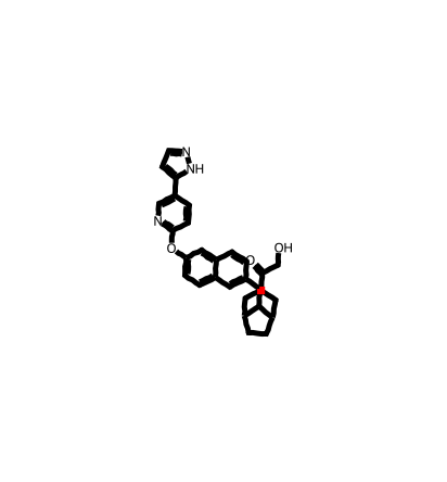 O=C(CO)C1CC2CCC(C1)C2Cc1ccc2cc(Oc3ccc(-c4ccn[nH]4)cn3)ccc2c1